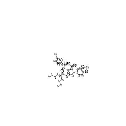 CCCCN(CCCC)C(=O)CN1CC(c2ccc3c(c2)OCO3)[C@H](C(=O)O)[C@H]1CCc1ncc(C)o1